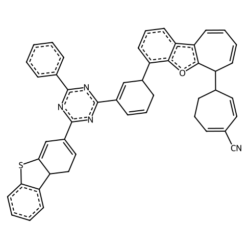 N#CC1=CCCC(C2C=CC=Cc3c2oc2c(C4C=C(c5nc(C6=CCC7C(=C6)Sc6ccccc67)nc(-c6ccccc6)n5)C=CC4)cccc32)C=C1